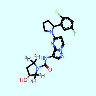 [2H]C1([2H])C[C@H](O)C([2H])([2H])N1C(=O)Nc1cnn2ccc(N3CCCC3c3cc(F)ccc3F)nc12